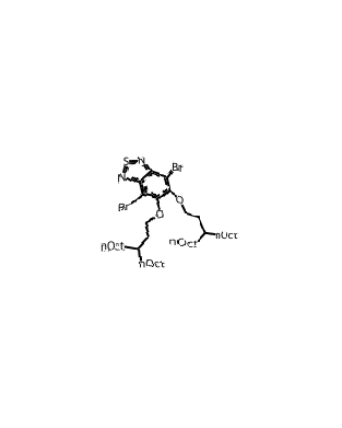 CCCCCCCCC(CCCCCCCC)CCOc1c(OCCC(CCCCCCCC)CCCCCCCC)c(Br)c2nsnc2c1Br